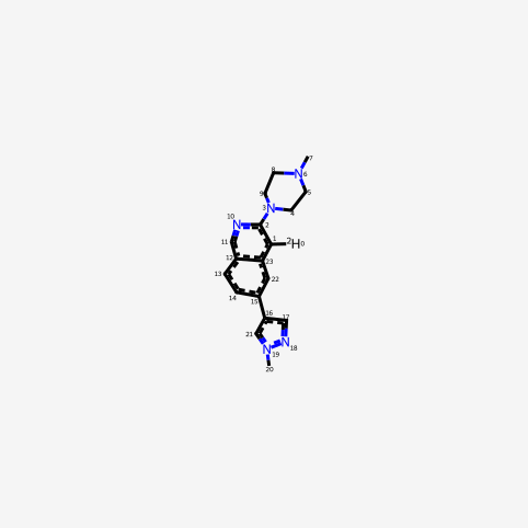 [2H]c1c(N2CCN(C)CC2)ncc2ccc(-c3cnn(C)c3)cc12